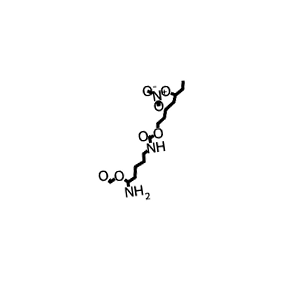 CCC(CCCCOC(=O)NCCCCC(N)OC=O)O[N+](=O)[O-]